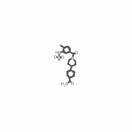 Cc1ccc(C(=O)N2CCC(c3ccc(C(N)=O)cc3)CC2)cc1NS(C)(=O)=O